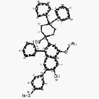 CCCCOc1cc(C2(N)CCC(c3ccccc3)(c3ccccc3)CC2)c(-c2ccccc2)c2cc(-c3ccc(OC)cc3)c(O)cc12